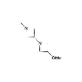 COC1CN(C2CN(C)C2)C1